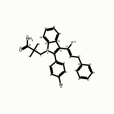 CC(C)(Cn1c(-c2ccc(Br)cc2)c(/C(F)=C/Cc2ccccc2)c2ccccc21)C(N)=O